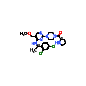 COCc1cnc(N2CCN(C(=O)[C@H]3CCCN3)CC2)nc1N[C@H](C)c1ccc(Cl)cc1Cl